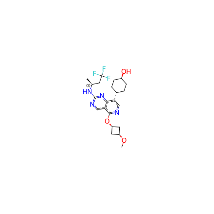 CO[C@H]1C[C@@H](Oc2ncc([C@H]3CC[C@H](O)CC3)c3nc(N[C@@H](C)CC(F)(F)F)ncc23)C1